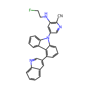 N#Cc1ncc(-n2c3ccccc3c3c(-c4cnc5ccccc5c4)cccc32)cc1NCCF